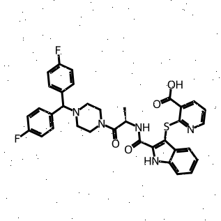 C[C@@H](NC(=O)c1[nH]c2ccccc2c1Sc1ncccc1C(=O)O)C(=O)N1CCN(C(c2ccc(F)cc2)c2ccc(F)cc2)CC1